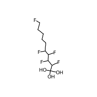 OC(O)(O)C(F)C(F)C(F)C(F)CCCCCF